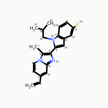 C=Cc1ccn2c(C)c(-c3cc4cc(F)ccc4n3CC(C)C)nc2c1